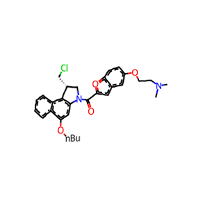 CCCCOc1cc2c(c3ccccc13)[C@H](CCl)CN2C(=O)c1cc2cc(OCCN(C)C)ccc2o1